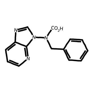 O=C(O)N(Cc1ccccc1)n1cnc2cccnc21